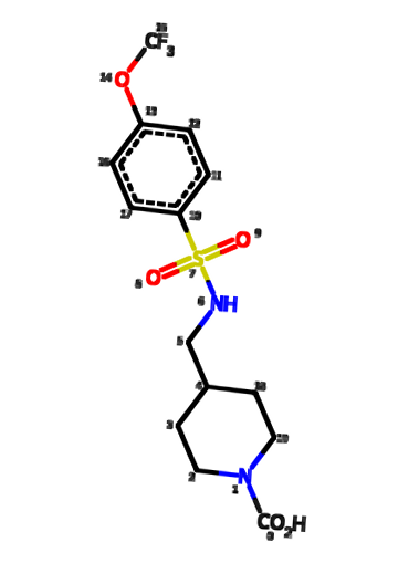 O=C(O)N1CCC(CNS(=O)(=O)c2ccc(OC(F)(F)F)cc2)CC1